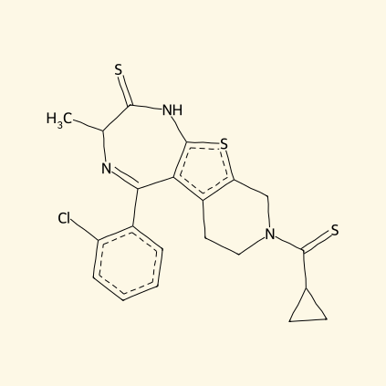 CC1N=C(c2ccccc2Cl)c2c(sc3c2CCN(C(=S)C2CC2)C3)NC1=S